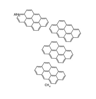 C.[AlH3].c1cc2ccc3cc4cccc5ccc6cc(c1)c2c3c6c54.c1cc2ccc3cc4cccc5ccc6cc(c1)c2c3c6c54.c1cc2ccc3cc4cccc5ccc6cc(c1)c2c3c6c54.c1cc2ccc3cc4cccc5ccc6cc(c1)c2c3c6c54